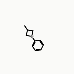 CC1C[Si](c2ccccc2)C1